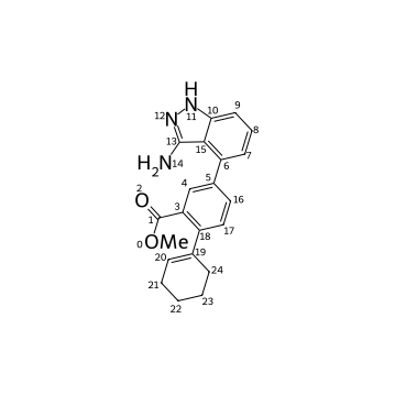 COC(=O)c1cc(-c2cccc3[nH]nc(N)c23)ccc1C1=CCCCC1